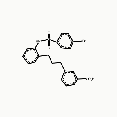 CC(C)c1ccc(S(=O)(=O)Nc2ccccc2CCCc2cccc(C(=O)O)c2)cc1